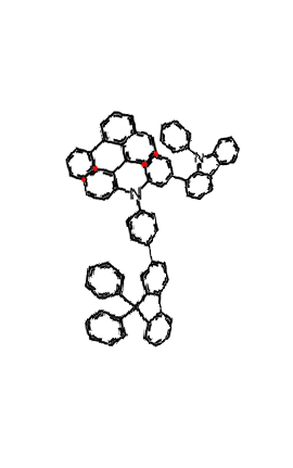 c1ccc(-c2cccc3cccc(-c4ccccc4N(c4ccc(-c5ccc6c(c5)C(c5ccccc5)(c5ccccc5)c5ccccc5-6)cc4)c4cccc(-c5cccc6c7ccccc7n(-c7ccccc7)c56)c4)c23)cc1